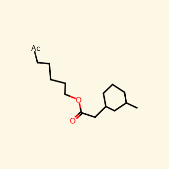 CC(=O)CCCCCOC(=O)CC1CCCC(C)C1